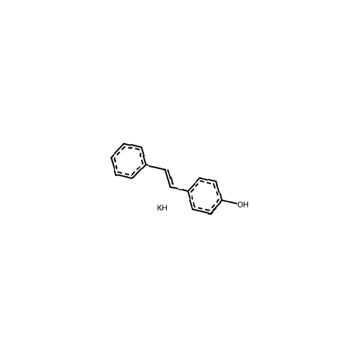 Oc1ccc(C=Cc2ccccc2)cc1.[KH]